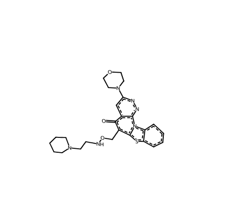 O=c1c(CONCCN2CCCCC2)c2sc3ccccc3n2c2nnc(N3CCOCC3)cc12